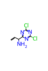 C=CC(N)c1nc(Cl)nc(Cl)n1